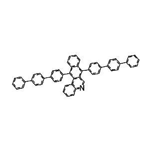 c1ccc(-c2ccc(-c3ccc(-c4c5ccccc5c(-c5ccc(-c6ccc(-c7ccccc7)cc6)cc5)c5c4cnc4ccccc45)cc3)cc2)cc1